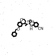 CCCCc1ccc(C#N)cc1NC(=O)[C@@H]1C[C@]12CCOc1ccc(OCc3ccccc3)cc12